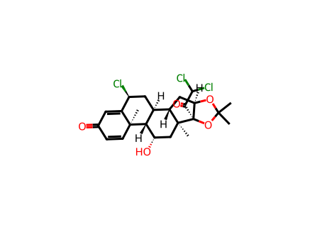 CC1(C)O[C@@H]2C[C@H]3[C@@H]4C[C@H](Cl)C5=CC(=O)C=C[C@]5(C)[C@H]4[C@@H](O)C[C@]3(C)[C@]2(C(=O)C(Cl)Cl)O1